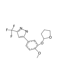 COc1ccc(C2=CC(C(F)(F)F)=N[N]2)cc1OC1CCCO1